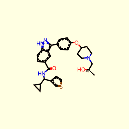 C[C@@H](O)CN1CCC(Oc2ccc(-c3n[nH]c4ccc(C(=O)NC(c5ccsc5)C5CC5)cc34)cc2)CC1